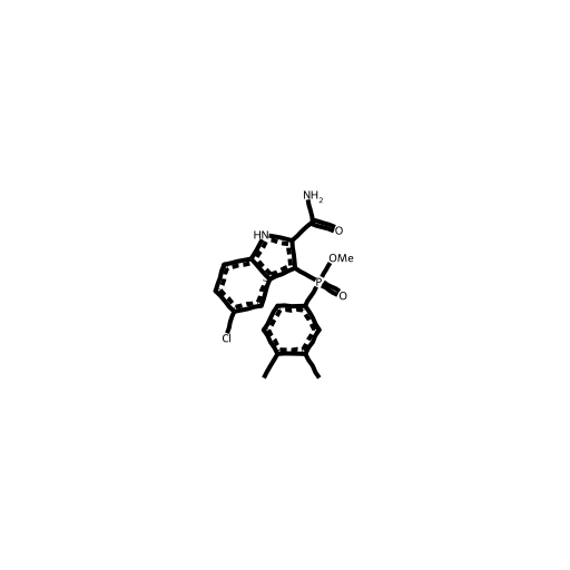 COP(=O)(c1ccc(C)c(C)c1)c1c(C(N)=O)[nH]c2ccc(Cl)cc12